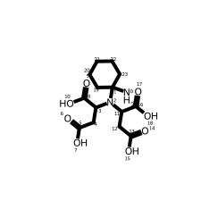 NC1(N(C(CC(=O)O)C(=O)O)C(CC(=O)O)C(=O)O)CCCCC1